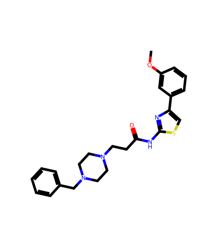 COc1cccc(-c2csc(NC(=O)CCN3CCN(Cc4ccccc4)CC3)n2)c1